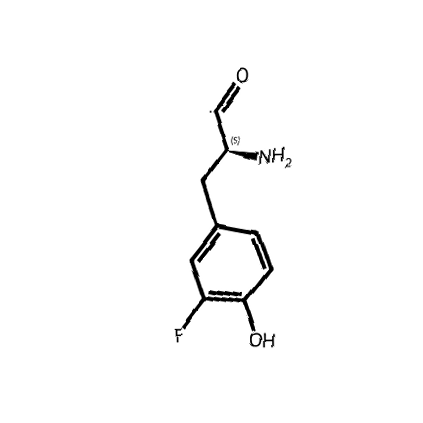 N[C@H]([C]=O)Cc1ccc(O)c(F)c1